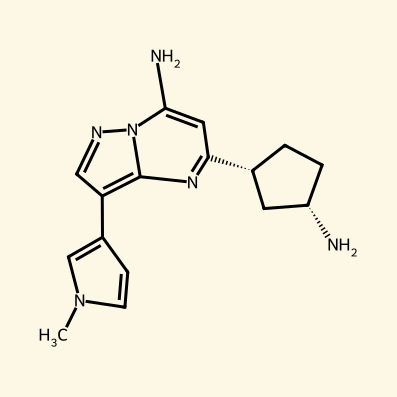 Cn1ccc(-c2cnn3c(N)cc([C@@H]4CC[C@H](N)C4)nc23)c1